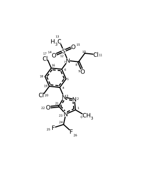 Cc1nn(-c2cc(N(C(=O)CCl)S(C)(=O)=O)c(Cl)cc2Cl)c(=O)n1C(F)F